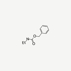 CC[N]C(=O)OCc1ccccc1